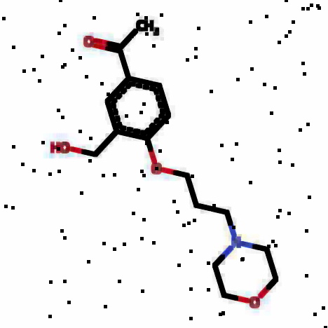 CC(=O)c1ccc(OCCCN2CCOCC2)c(CO)c1